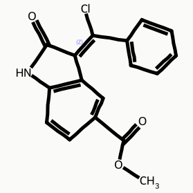 COC(=O)c1ccc2c(c1)/C(=C(/Cl)c1ccccc1)C(=O)N2